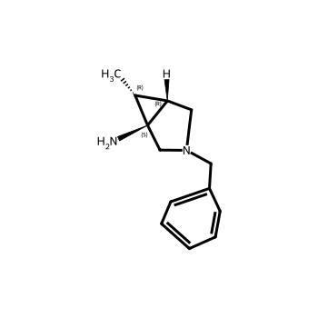 C[C@@H]1[C@@H]2CN(Cc3ccccc3)C[C@]12N